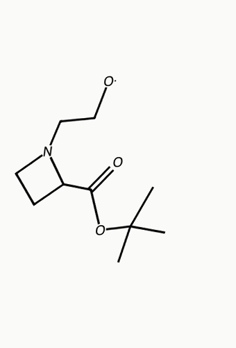 CC(C)(C)OC(=O)C1CCN1CC[O]